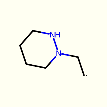 [CH2]CN1CCCCN1